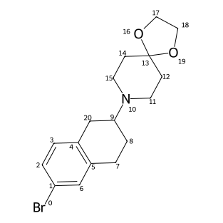 Brc1ccc2c(c1)CCC(N1CCC3(CC1)OCCO3)C2